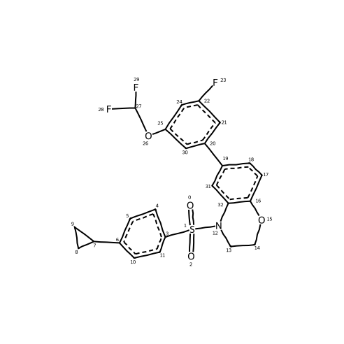 O=S(=O)(c1ccc(C2CC2)cc1)N1CCOc2ccc(-c3cc(F)cc(OC(F)F)c3)cc21